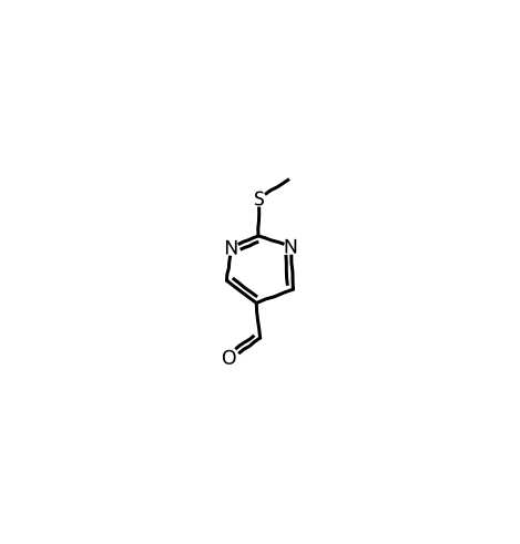 CSc1ncc(C=O)cn1